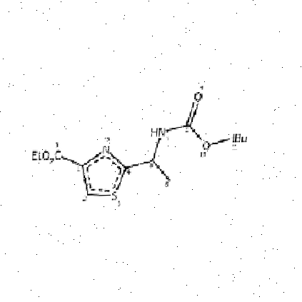 CCOC(=O)c1csc(C(C)NC(=O)OC(C)(C)C)n1